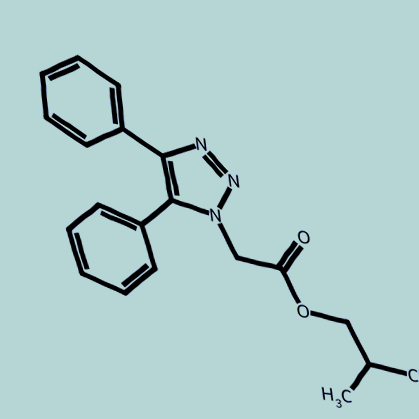 CC(C)COC(=O)Cn1nnc(-c2ccccc2)c1-c1ccccc1